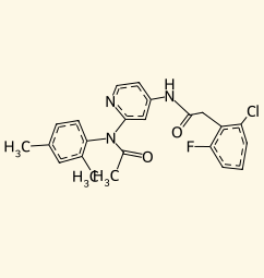 CC(=O)N(c1cc(NC(=O)Cc2c(F)cccc2Cl)ccn1)c1ccc(C)cc1C